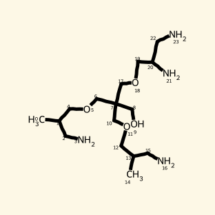 CC(CN)COCC(CO)(COCC(C)CN)COCC(N)CN